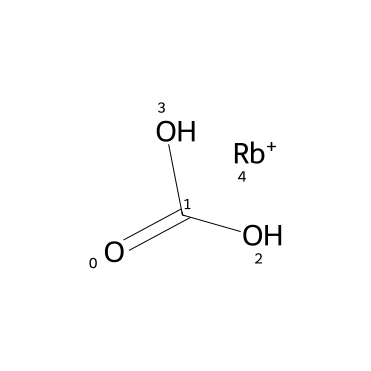 O=C(O)O.[Rb+]